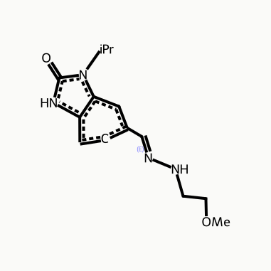 COCCN/N=C/c1ccc2[nH]c(=O)n(C(C)C)c2c1